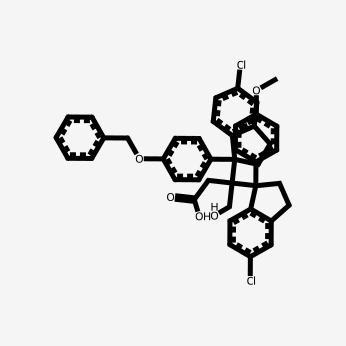 COc1ccc(C2(C(CO)(CC(=O)O)C3(c4ccc(OCc5ccccc5)cc4)CCc4cc(Cl)ccc43)CCc3cc(Cl)ccc32)cc1